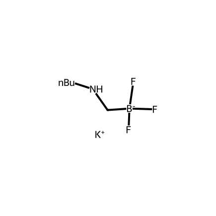 CCCCNC[B-](F)(F)F.[K+]